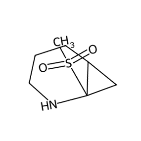 CS(=O)(=O)C12CC1CCCN2